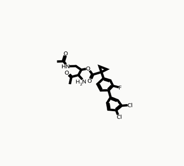 CC(=O)NCC(OC(=O)C1(c2ccc(-c3ccc(Cl)c(Cl)c3)c(F)c2)CC1)C(N)C(C)=O